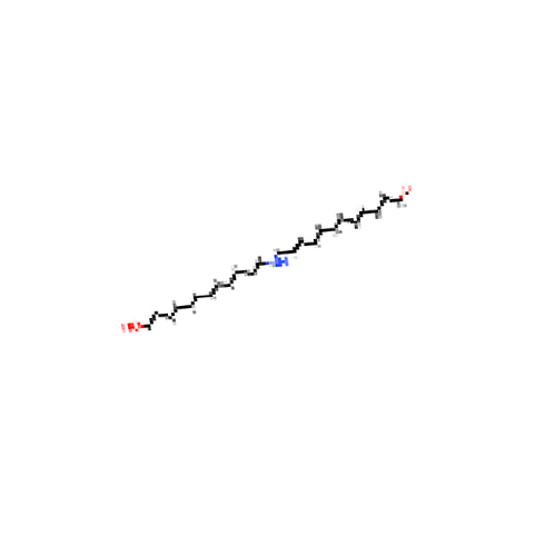 OCCCCCCCCCCCCNCCCCCCCCCCCCO